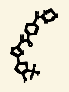 O=C(Nc1nc(-c2ccc(F)c(C(F)(F)F)c2)cs1)c1ccc(Nc2ncncn2)cc1